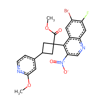 COC(=O)C1(c2c([N+](=O)[O-])cnc3cc(F)c(Br)cc23)CC(c2ccnc(OC)c2)C1